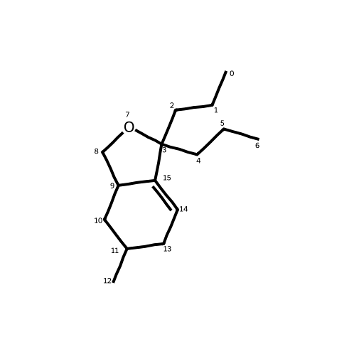 CCCC1(CCC)OCC2CC(C)CC=C21